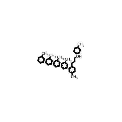 Cc1ccc(CCCO)cc1.Cc1ccccc1.Cc1ccccc1.Cc1ccccc1.Cc1ccccc1.Cc1ccccc1